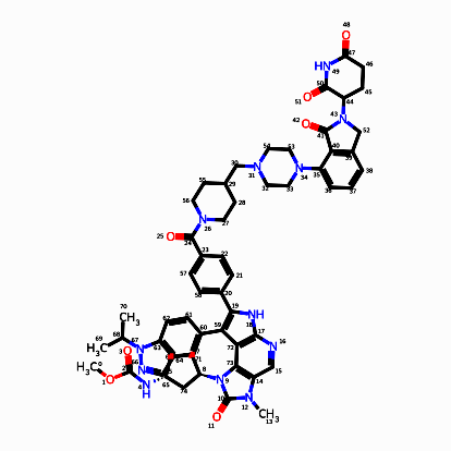 COC(=O)N[C@@H]1CC[C@@H](n2c(=O)n(C)c3cnc4[nH]c(-c5ccc(C(=O)N6CCC(CN7CCN(c8cccc9c8C(=O)N(C8CCC(=O)NC8=O)C9)CC7)CC6)cc5)c(-c5ccc6c(cnn6C(C)C)c5)c4c32)C1